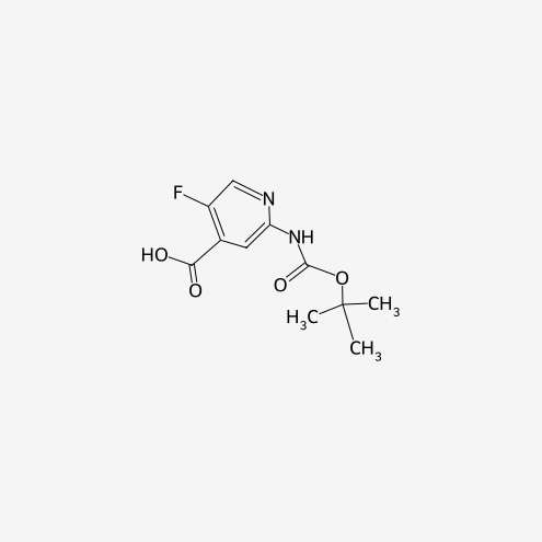 CC(C)(C)OC(=O)Nc1cc(C(=O)O)c(F)cn1